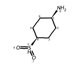 N[C@H]1CC[C@@H]([SH](=O)=O)CC1